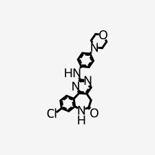 O=C1Cc2cnc(Nc3ccc(N4CCOCC4)cc3)nc2-c2ccc(Cl)cc2N1